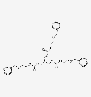 O=C(OCCOCc1ccccc1)OCC(COC(=O)OCCOCc1ccccc1)COC(=O)OCCOCc1ccccc1